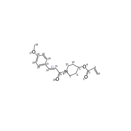 C=CC(=O)OC1CCN(C(=O)/C=C/c2ccc(OC)cc2)CC1